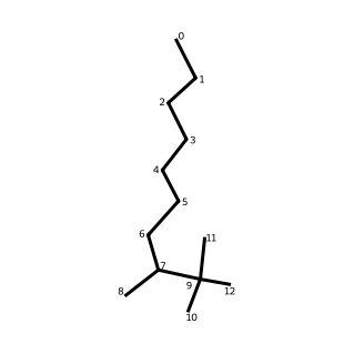 CCCCCCCC(C)C(C)(C)C